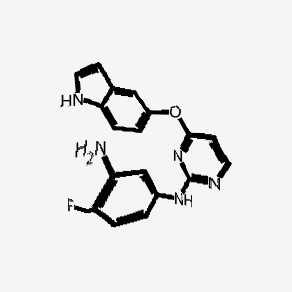 Nc1cc(Nc2nccc(Oc3ccc4[nH]ccc4c3)n2)ccc1F